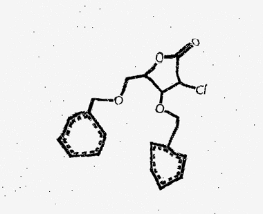 O=C1OC(COCc2ccccc2)C(OCc2ccccc2)C1Cl